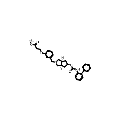 CC(C)(C)OC(=O)CCOc1cccc(CN2C[C@H]3C[C@H](OC(=O)Nc4ccccc4-c4ccccc4)C[C@H]3C2)c1